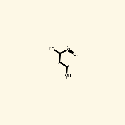 CC(CCO)[S+]=O